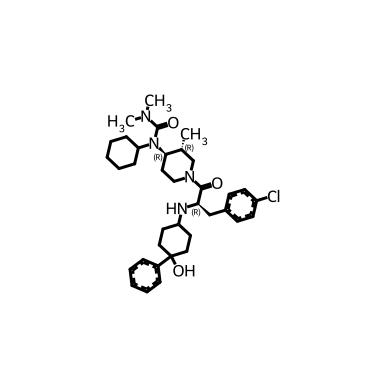 C[C@@H]1CN(C(=O)[C@@H](Cc2ccc(Cl)cc2)NC2CCC(O)(c3ccccc3)CC2)CC[C@H]1N(C(=O)N(C)C)C1CCCCC1